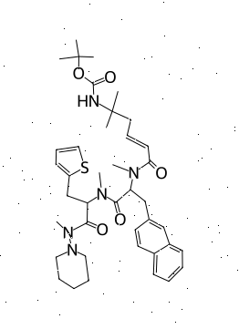 CN(C(=O)/C=C/CC(C)(C)NC(=O)OC(C)(C)C)C(Cc1ccc2ccccc2c1)C(=O)N(C)C(Cc1cccs1)C(=O)N(C)N1CCCCC1